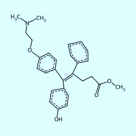 COC(=O)CC/C(=C(\c1ccc(O)cc1)c1ccc(OCCN(C)C)cc1)c1ccccc1